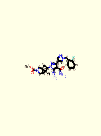 CC(C)(C)OC(=O)N1CC2[C@@H]3[C@H](n4nc(-c5cnn(Cc6ccccc6F)c5)c(C(N)=O)c4N)C[C@]23C1